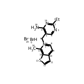 Br.CCc1ncc(C[n+]2ccc3ccsc3c2C)c(N)n1.[Br-]